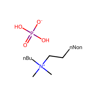 CCCCCCCCCCC[N+](C)(C)CCCC.O=P([O-])(O)O